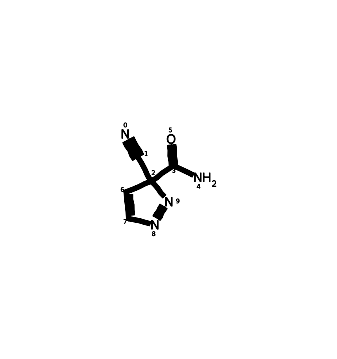 N#CC1(C(N)=O)C=CN=N1